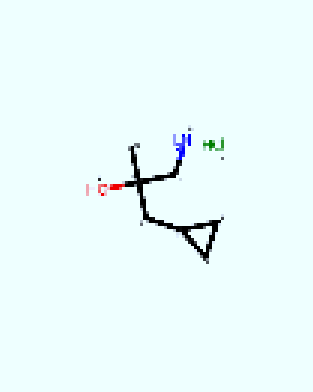 CC(O)(CN)CC1CC1.Cl